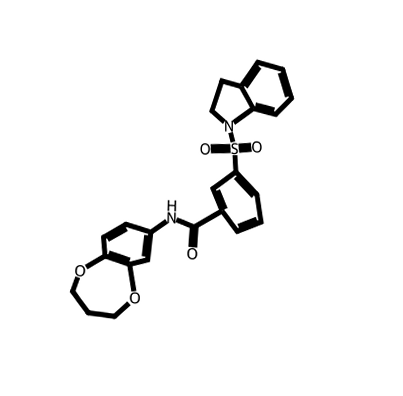 O=C(Nc1ccc2c(c1)OCCCO2)c1cccc(S(=O)(=O)N2CCc3ccccc32)c1